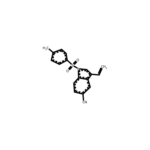 C=Cc1cn(S(=O)(=O)c2ccc(C)cc2)c2ccc(C#N)cc12